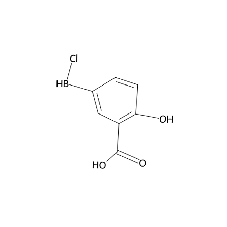 O=C(O)c1cc(BCl)ccc1O